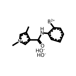 [B+2]c1ccccc1NC(=O)c1cn(C)cc1C.[OH-].[OH-]